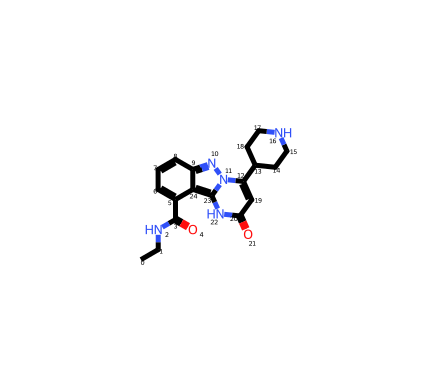 CCNC(=O)c1cccc2nn3c(C4CCNCC4)cc(=O)[nH]c3c12